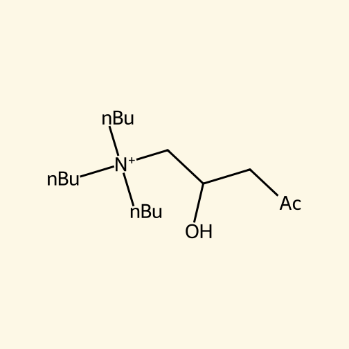 CCCC[N+](CCCC)(CCCC)CC(O)CC(C)=O